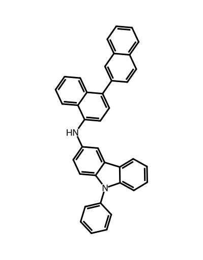 c1ccc(-n2c3ccccc3c3cc(Nc4ccc(-c5ccc6ccccc6c5)c5ccccc45)ccc32)cc1